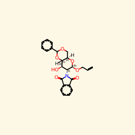 C=CCO[C@@H]1O[C@@H]2COC(c3ccccc3)O[C@H]2[C@H](O)[C@H]1N1C(=O)c2ccccc2C1=O